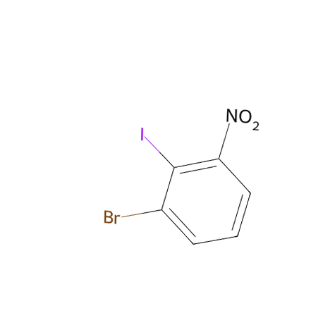 O=[N+]([O-])c1cccc(Br)c1I